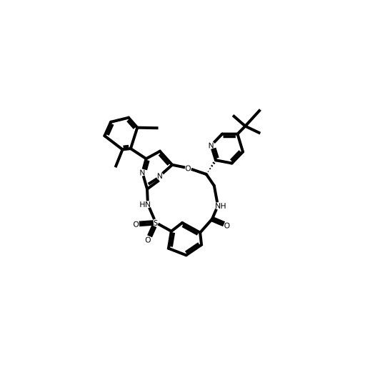 Cc1cccc(C)c1-c1cc2nc(n1)NS(=O)(=O)c1cccc(c1)C(=O)NC[C@@H](c1ccc(C(C)(C)C)cn1)O2